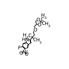 CC1(C)OCC(COCCC(C)(C)c2cc3cc([N+](=O)[O-])c(F)cc3[nH]2)O1